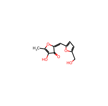 CC1=C(O)C(=O)C(=Cc2ccc(CO)o2)O1